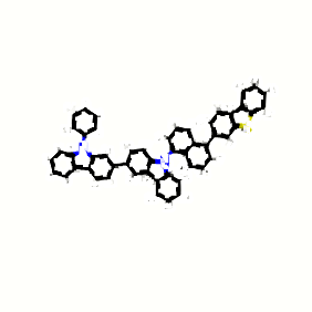 c1ccc(-n2c3ccccc3c3ccc(-c4ccc5c(c4)c4ccccc4n5-c4cccc5c(-c6ccc7c(c6)sc6ccccc67)cccc45)cc32)cc1